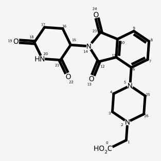 O=C(O)CN1CCN(c2cccc3c2C(=O)N(C2CCC(=O)NC2=O)C3=O)CC1